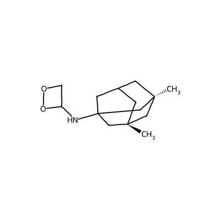 C[C@]12CC3CC(NC4COO4)(C1)C[C@@](C)(C3)C2